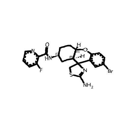 NC1=NC2(CS1)c1cc(Br)ccc1O[C@H]1CC[C@H](NC(=O)c3ncccc3F)C[C@@H]12